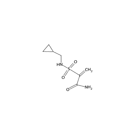 C=C(C(N)=O)S(=O)(=O)NCC1CC1